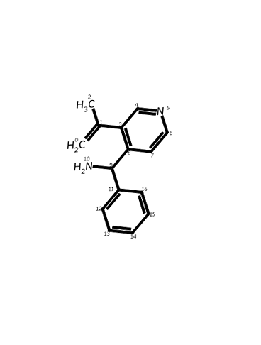 C=C(C)c1cnccc1C(N)c1ccccc1